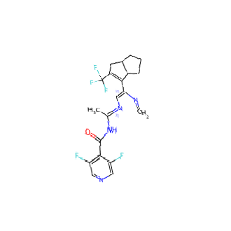 C=N/C(=C\N=C(/C)NC(=O)c1c(F)cncc1F)C1=C(C(F)(F)F)CC2CCCC12